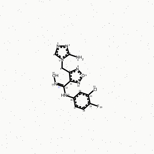 Nc1nncn1Cc1nonc1/C(=N\O)Nc1ccc(F)c(Cl)c1